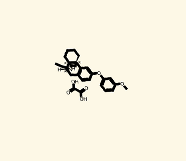 COc1cccc(Oc2ccc3c(c2)[C@@]24CCCC[C@H]2[C@@H](C3)N(C)CC4)c1.O=C(O)C(=O)O